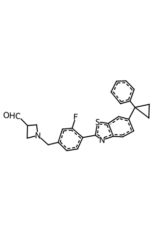 O=CC1CN(Cc2ccc(-c3nc4ccc(C5(c6ccccc6)CC5)cc4s3)c(F)c2)C1